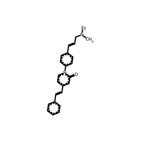 CCN(C)C/C=C/c1ccc(-n2ccc(/C=C/c3ccccc3)cc2=O)cc1